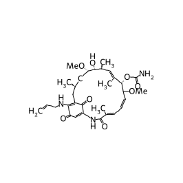 C=CCNC1=C2C[C@@H](C)C[C@H](OC)[C@H](O)[C@@H](C)/C=C(\C)[C@H](OC(N)=O)C(OC)/C=C\C=C(/C)C(=O)NC(=CC1=O)C2=O